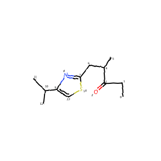 CCC(=O)C(C)Cc1nc(C(C)C)cs1